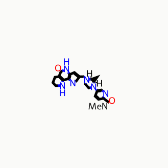 CNC(=O)c1ccc(N2CCN(Cc3cnc4c5c(c(=O)[nH]c4c3)CCCN5)[C@H]3C[C@H]32)cn1